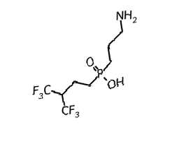 NCCCP(=O)(O)CCC(C(F)(F)F)C(F)(F)F